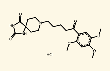 COc1cc(OC)c(C(=O)CCCCN2CCC3(CC2)NC(=O)NC3=O)cc1OC.Cl